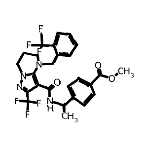 COC(=O)c1ccc(C(C)NC(=O)c2c(C(F)(F)F)nn3c2N(Cc2ccccc2C(F)(F)F)CCC3)cc1